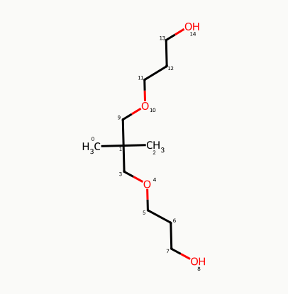 CC(C)(COCCCO)COCCCO